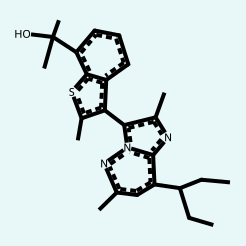 CCC(CC)c1cc(C)nn2c(-c3c(C)sc4c(C(C)(C)O)cccc34)c(C)nc12